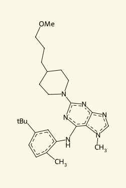 COCCCC1CCN(c2nc(Nc3cc(C(C)(C)C)ccc3C)c3c(ncn3C)n2)CC1